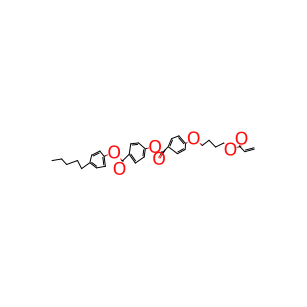 C=CC(=O)OCCCCOc1ccc(C(=O)Oc2ccc(C(=O)Oc3ccc(CCCCC)cc3)cc2)cc1